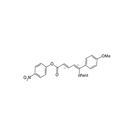 CCCCC/C(=C\C=C\C(=O)Oc1ccc([N+](=O)[O-])cc1)c1ccc(OC)cc1